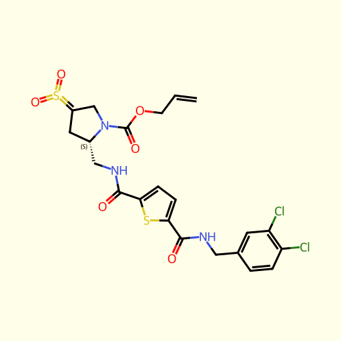 C=CCOC(=O)N1CC(=S(=O)=O)C[C@H]1CNC(=O)c1ccc(C(=O)NCc2ccc(Cl)c(Cl)c2)s1